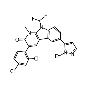 CCn1nccc1-c1ccc2c(c1)c1cc(-c3ccc(Cl)cc3Cl)c(=O)n(C)c1n2C(F)F